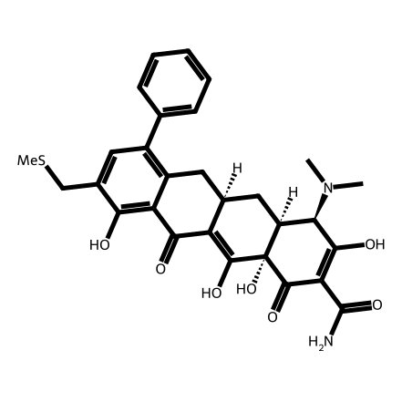 CSCc1cc(-c2ccccc2)c2c(c1O)C(=O)C1=C(O)[C@]3(O)C(=O)C(C(N)=O)=C(O)[C@H](N(C)C)[C@@H]3C[C@@H]1C2